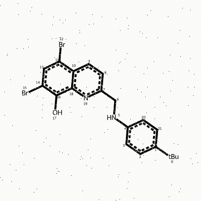 CC(C)(C)c1ccc(NCc2ccc3c(Br)cc(Br)c(O)c3n2)cc1